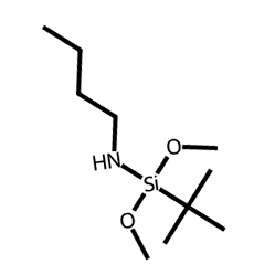 CCCCN[Si](OC)(OC)C(C)(C)C